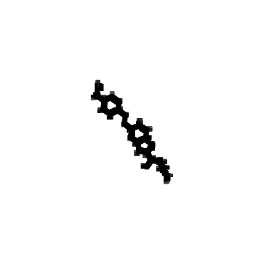 CCOc1ccc(CCc2cc3cc(C(C)N=[N+]=[N-])oc3cn2)cc1